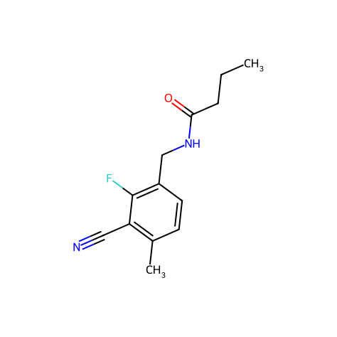 CCCC(=O)NCc1ccc(C)c(C#N)c1F